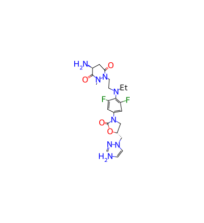 C=NN(/C=C\N)C[C@H]1CN(c2cc(F)c(N(CC)CCN3C(=O)C[C@H](N)C(=O)N3C)c(F)c2)C(=O)O1